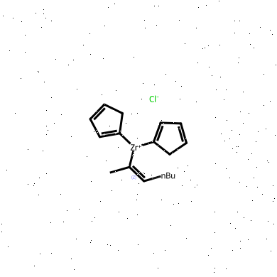 CCCC/C=[C](/C)[Zr+]([C]1=CC=CC1)[C]1=CC=CC1.[Cl-]